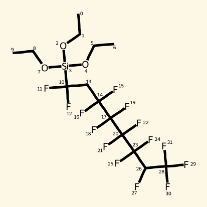 CCO[Si](OCC)(OCC)C(F)(F)CC(F)(F)C(F)(F)C(F)(F)C(F)(F)C(F)C(F)(F)F